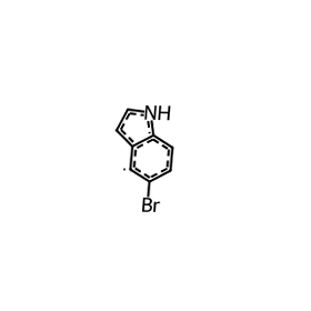 Brc1[c]c2cc[nH]c2cc1